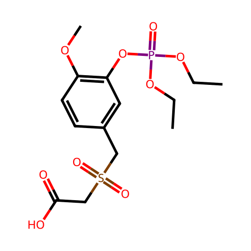 CCOP(=O)(OCC)Oc1cc(CS(=O)(=O)CC(=O)O)ccc1OC